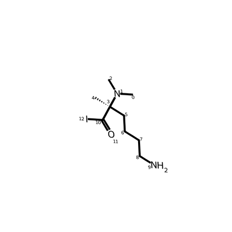 CN(C)[C@@](C)(CCCCN)C(=O)I